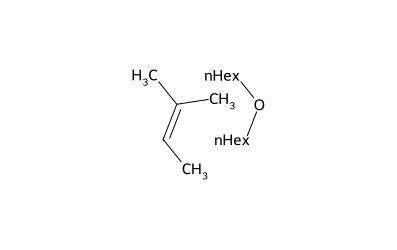 CC=C(C)C.CCCCCCOCCCCCC